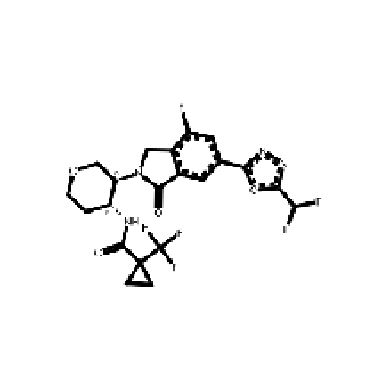 O=C1c2cc(-c3nnc(C(F)F)o3)cc(F)c2CN1[C@@H]1COCC[C@H]1NC(=O)C1(C(F)(F)F)CC1